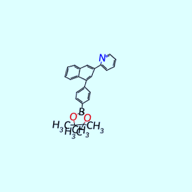 CC1(C)OB(c2ccc(-c3cc(-c4ccccn4)cc4ccccc34)cc2)OC1(C)C